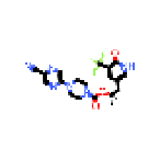 C[C@@H](Cc1c[nH]c(=O)c(C(F)(F)F)c1)OC(=O)N1CCN(c2cnc(C#N)cn2)CC1